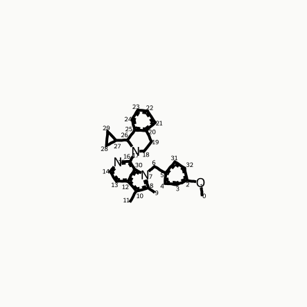 COc1ccc(Cn2c(C)c(C)c3ccnc(N4CCc5ccccc5C4C4CC4)c32)cc1